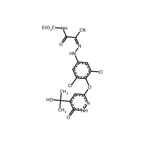 CCOC(=O)NC(=O)C(C#N)=NNc1cc(Cl)c(Oc2cc(C(C)(C)O)c(=O)[nH]n2)c(Cl)c1